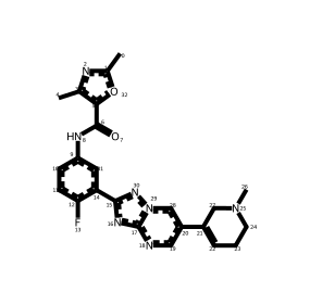 Cc1nc(C)c(C(=O)Nc2ccc(F)c(-c3nc4ncc(C5=CCCN(C)C5)cn4n3)c2)o1